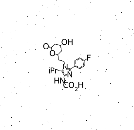 CC(C)c1c(NC(=O)O)nc(-c2ccc(F)cc2)n1CCC1CC(O)CC(=O)O1